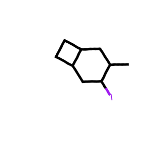 CC1CC2CCC2CC1I